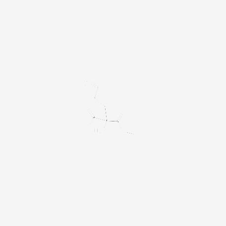 C=CCCC(C)(C(=O)O)C(=O)OCC